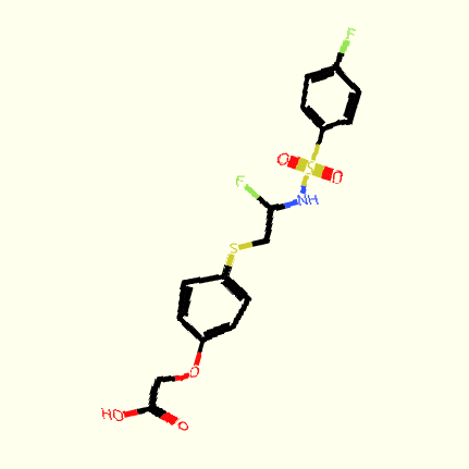 O=C(O)COc1ccc(SCC(F)NS(=O)(=O)c2ccc(F)cc2)cc1